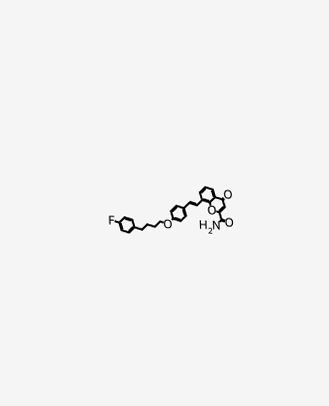 NC(=O)c1cc(=O)c2cccc(C=Cc3ccc(OCCCCc4ccc(F)cc4)cc3)c2o1